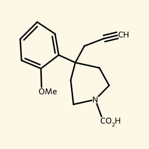 C#CCC1(c2ccccc2OC)CCN(C(=O)O)CC1